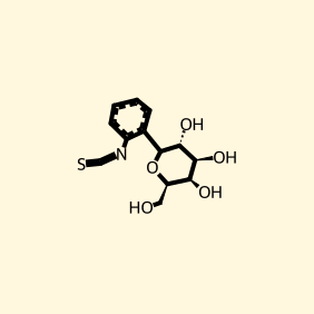 OC[C@H]1OC(c2ccccc2N=C=S)[C@H](O)[C@@H](O)[C@H]1O